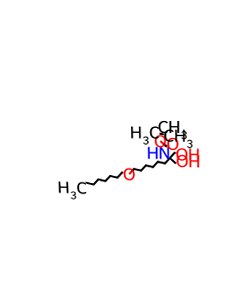 CCCCCCCCOCCCCCCC(CO)(CO)NC(=O)OC(C)(C)C